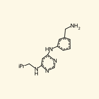 CC(C)CNc1cc(Nc2cccc(CN)c2)ncn1